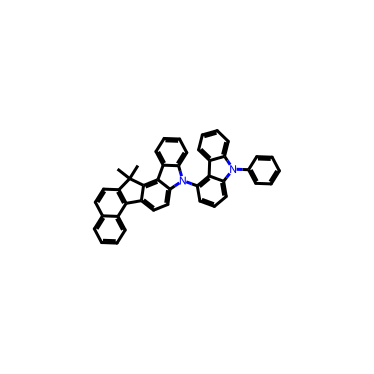 CC1(C)c2ccc3ccccc3c2-c2ccc3c(c21)c1ccccc1n3-c1cccc2c1c1ccccc1n2-c1ccccc1